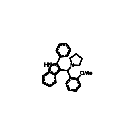 COc1ccccc1C(c1c(-c2ccccc2)[nH]c2ccccc12)N1CCCC1